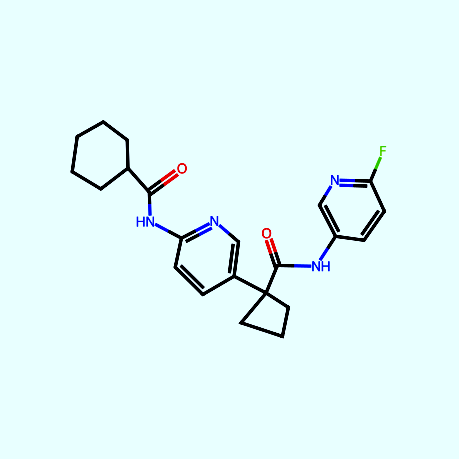 O=C(Nc1ccc(C2(C(=O)Nc3ccc(F)nc3)CCC2)cn1)C1CCCCC1